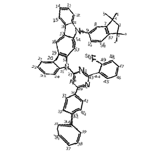 CC1(C)CC(C)(C)c2cc(-n3c4ccccc4c4cc5c6ccccc6n(-c6nc(-c7ccc(-c8ccccc8)cc7)nc(-c7ccccc7F)n6)c5cc43)ccc21